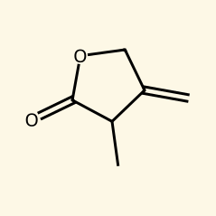 C=C1COC(=O)C1C